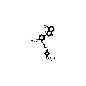 COc1ccc(-c2cc(=O)c3cccc(Cl)c3o2)cc1OCCOC1CC(C(=O)O)C1